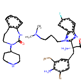 CN(C)CCCn1c([C@](N)(Cc2cc(Br)c(N)c(Br)c2)C(=O)O)nc2ccc(F)cc21.O=C1Nc2ccccc2CCN1C1CCNCC1